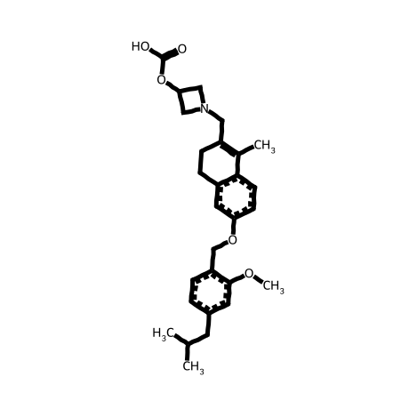 COc1cc(CC(C)C)ccc1COc1ccc2c(c1)CCC(CN1CC(OC(=O)O)C1)=C2C